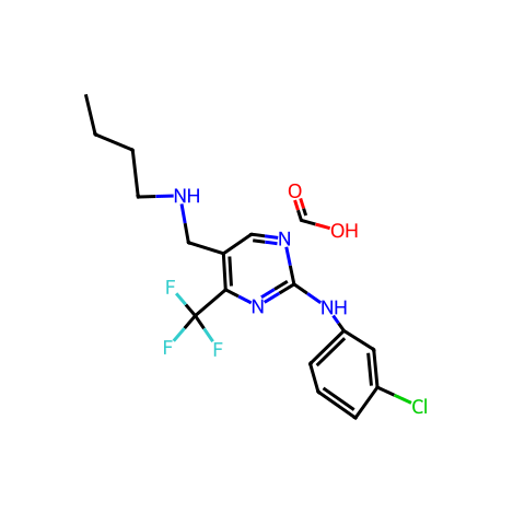 CCCCNCc1cnc(Nc2cccc(Cl)c2)nc1C(F)(F)F.O=CO